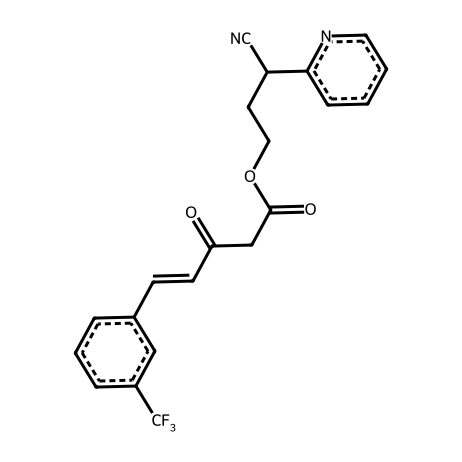 N#CC(CCOC(=O)CC(=O)C=Cc1cccc(C(F)(F)F)c1)c1ccccn1